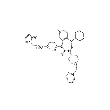 Cc1ccc2c(c1)N(c1ccc(NCCc3ncc[nH]3)cc1)C(=O)N(C1CCN(Cc3ccccc3)CC1)N=C2C1CCCCC1